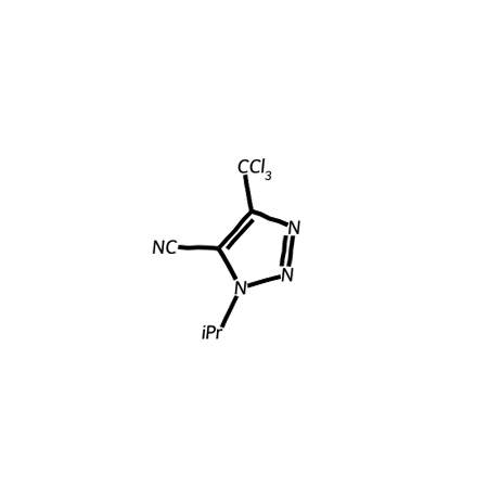 CC(C)n1nnc(C(Cl)(Cl)Cl)c1C#N